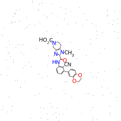 Cn1c(C(=O)Nc2cccc(-c3ccc4c(c3)OCCO4)c2C#N)nc2c1CCN(C(=O)O)C2